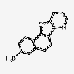 Bc1ccc2c(ccc3c4ncccc4sc23)c1